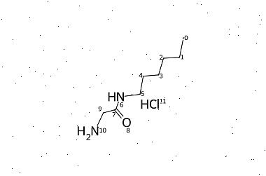 CCCCCCNC(=O)CN.Cl